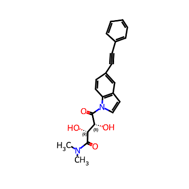 CN(C)C(=O)[C@H](O)[C@@H](O)C(=O)n1ccc2cc(C#Cc3ccccc3)ccc21